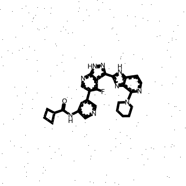 O=C(Nc1cncc(-c2cnc3[nH]nc(-c4nc5c(N6CCCCC6)nccc5[nH]4)c3c2F)c1)C1CCC1